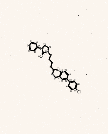 O=C1N(CCCCC2CCc3cc(-c4ccc(Cl)cc4)ccc3O2)CCN1c1ccncc1